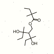 CCC(C)(C)C(=O)OCC(C(C)(O)CC)C(C)(O)CC